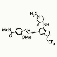 CNC(=O)c1ccc(NCC#Cc2cc(N[C@H]3CCN(C)C[C@@H]3F)c3ccn(CC(F)(F)F)c3c2)c(OC)c1